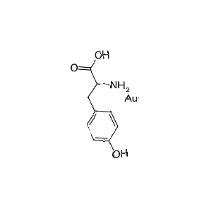 NC(Cc1ccc(O)cc1)C(=O)O.[Au]